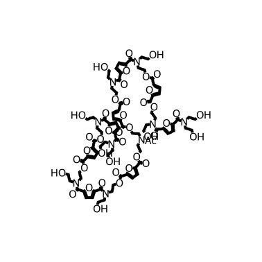 CC(=O)N(CCOC(=O)c1ccc(C(=O)OCCN(CCO)C(=O)c2ccc(C(=O)N(CCO)CCOC(=O)c3ccc(C(=O)OCCN(CCO)C(=O)c4ccc(C(=O)N(CCO)CCO)o4)o3)o2)o1)CCOC(=O)c1ccc(C(=O)OCCN(CCO)C(=O)c2ccc(C(=O)N(CCO)CCOC(=O)c3ccc(C(=O)OCCN(CCO)C(=O)c4ccc(C(=O)N(CCO)CCO)o4)o3)o2)o1